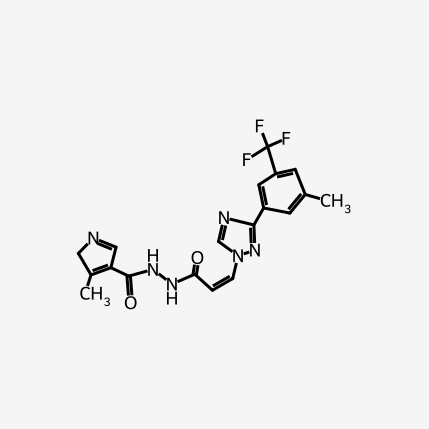 CC1=C(C(=O)NNC(=O)/C=C\n2cnc(-c3cc(C)cc(C(F)(F)F)c3)n2)C=NC1